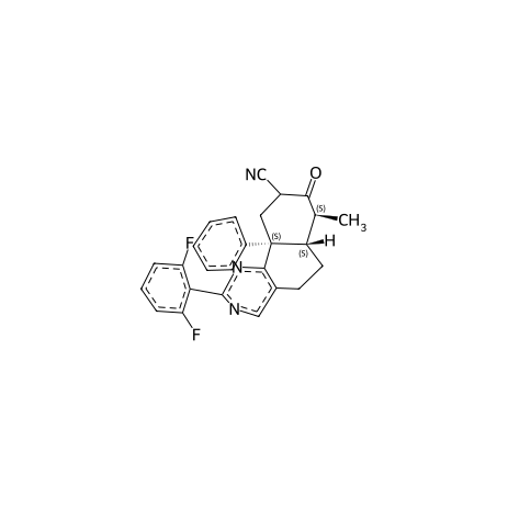 C[C@@H]1C(=O)C(C#N)C[C@]2(c3ccccc3)c3nc(-c4c(F)cccc4F)ncc3CC[C@@H]12